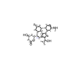 CNc1cc(-c2nc(C3(O)CC3)n(/C=C/C3CC(O)CC(=O)O3)c2-c2ccc(F)cc2)ccn1